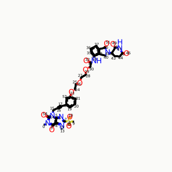 Cn1c(=O)c2c(nc(S(C)(=O)=O)n2C)n(CC#Cc2cccc(OCCOCCOCC(=O)Nc3cccc4c3CN(C3CCC(=O)NC3=O)C4=O)c2)c1=O